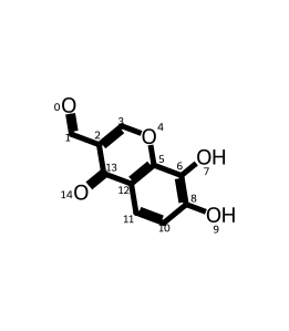 O=Cc1coc2c(O)c(O)ccc2c1=O